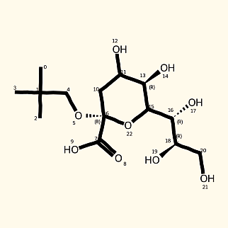 CC(C)(C)CO[C@]1(C(=O)O)CC(O)[C@@H](O)C([C@H](O)[C@H](O)CO)O1